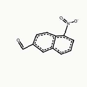 O=Cc1ccc2c([N+](=O)[O-])cccc2c1